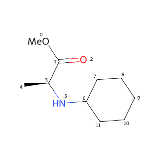 COC(=O)[C@H](C)NC1CCCCC1